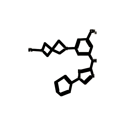 Cc1cc(Nc2ncn(-c3ccccc3)n2)cc(N2CC3(C2)CN(C(C)C)C3)c1